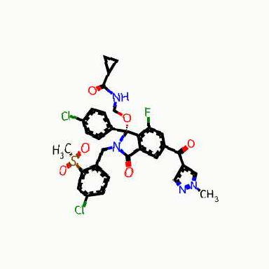 Cn1cc(C(=O)c2cc(F)c3c(c2)C(=O)N(Cc2ccc(Cl)cc2S(C)(=O)=O)[C@@]3(OCNC(=O)C2CC2)c2ccc(Cl)cc2)cn1